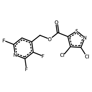 O=C(OCc1cc(F)nc(F)c1F)c1snc(Cl)c1Cl